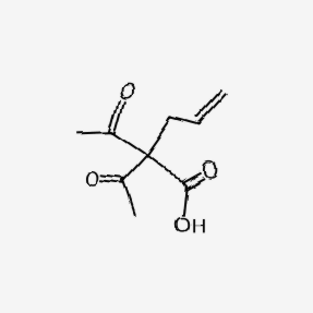 C=CCC(C(C)=O)(C(C)=O)C(=O)O